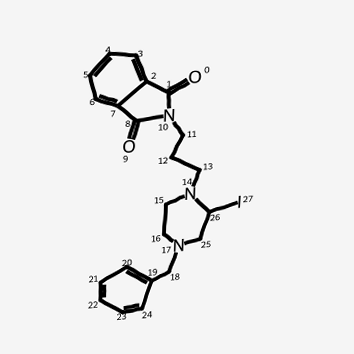 O=C1c2ccccc2C(=O)N1CCCN1CCN(Cc2ccccc2)CC1I